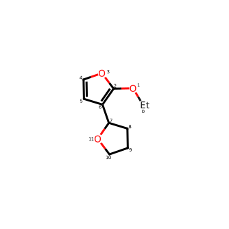 CCOc1occc1C1CCCO1